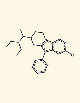 CCN(CC)C(C)N1CCn2c(c(-c3ccccc3)c3cc(Cl)ccc32)C1